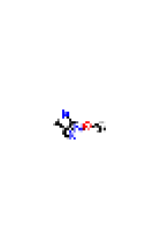 C[Si](C)(C)CCOCn1cc(C#N)c2c(C3CC3)ccnc21